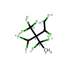 CC(F)(F)C(C(F)F)(C(F)CF)C(F)(F)F